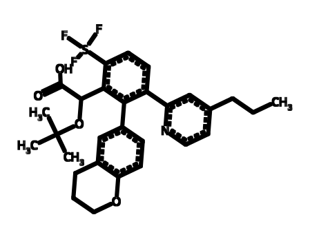 CCCc1ccnc(-c2ccc(S(F)(F)F)c(C(OC(C)(C)C)C(=O)O)c2-c2ccc3c(c2)CCCO3)c1